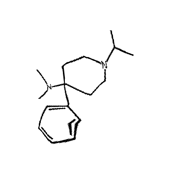 CC(C)N1CCC(c2ccccc2)(N(C)C)CC1